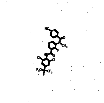 CN(C(=O)c1ccc(C#N)cc1)c1cccc(C(=O)Nc2c(Cl)cc(C(F)(C(F)(F)F)C(F)(F)F)cc2Cl)c1F